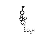 O=C(O)CCN1CCC2(CC1)CCN(c1ccc(C3CC3)cc1)C2=O